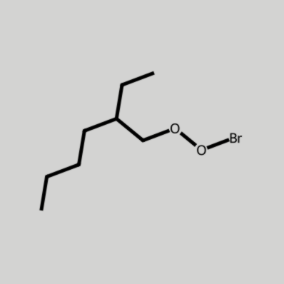 CCCCC(CC)COOBr